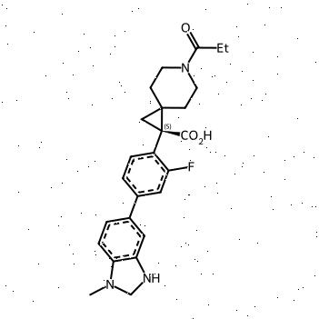 CCC(=O)N1CCC2(CC1)C[C@@]2(C(=O)O)c1ccc(-c2ccc3c(c2)NCN3C)cc1F